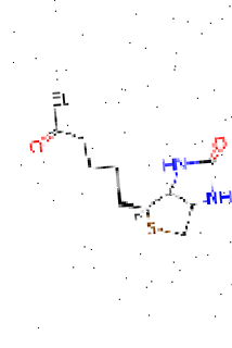 CCC(=O)CCCC[C@@H]1SCC2NC(=O)NC21